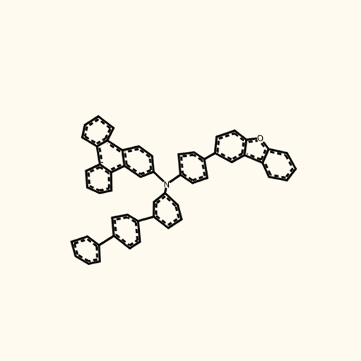 c1ccc(-c2ccc(-c3cccc(N(c4ccc(-c5ccc6oc7ccccc7c6c5)cc4)c4ccc5c6ccccc6c6ccccc6c5c4)c3)cc2)cc1